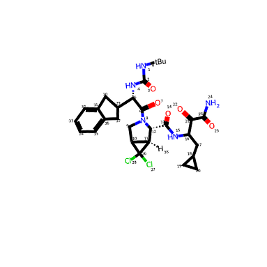 CC(C)(C)NC(=O)N[C@H](C(=O)N1CC2[C@@H]([C@H]1C(=O)NC(CC1CC1)C(=O)C(N)=O)C2(Cl)Cl)C1Cc2ccccc2C1